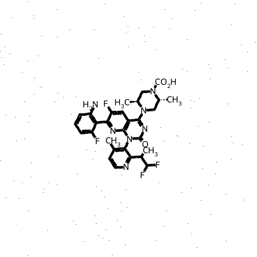 Cc1ccnc(C(C)C(F)F)c1-n1c(=O)nc(N2C[C@@H](C)N(C(=O)O)C[C@@H]2C)c2cc(F)c(-c3c(N)cccc3F)nc21